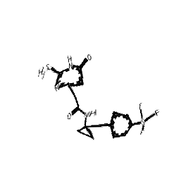 Cc1nc(C(=O)NC2(c3ccc(S(F)(F)F)cc3)CC2)cc(=O)[nH]1